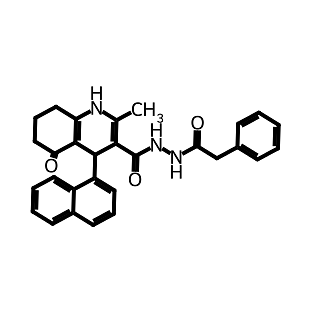 CC1=C(C(=O)NNC(=O)Cc2ccccc2)C(c2cccc3ccccc23)C2=C(CCCC2=O)N1